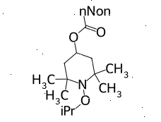 CCCCCCCCCC(=O)OC1CC(C)(C)N(OC(C)C)C(C)(C)C1